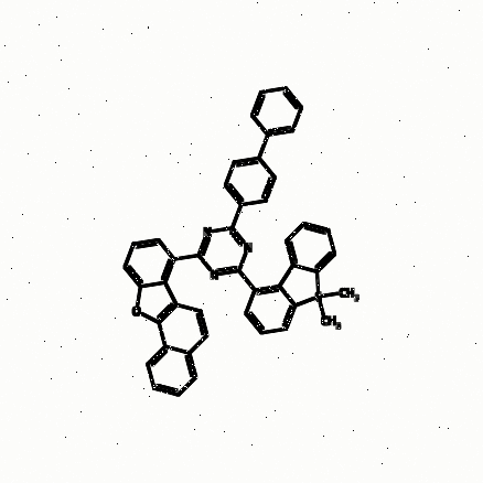 CS1(C)c2ccccc2-c2c(-c3nc(-c4ccc(-c5ccccc5)cc4)nc(-c4cccc5oc6c7ccccc7ccc6c45)n3)cccc21